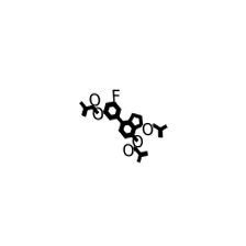 C=C(C)COC1CCc2c(-c3cc(F)cc(OC(=O)C(=C)C)c3)ccc(OC(=O)C(=C)C)c21